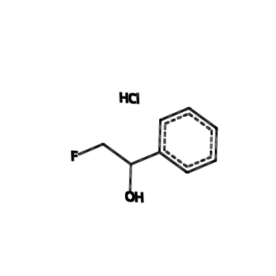 Cl.OC(CF)c1ccccc1